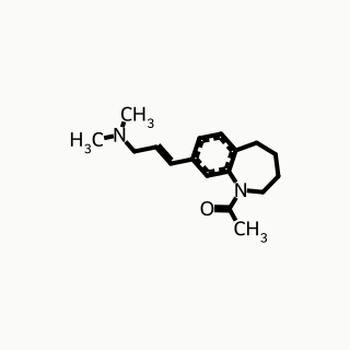 CC(=O)N1CCCCc2ccc(/C=C/CN(C)C)cc21